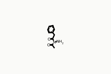 CC(=O)N(N)C(=O)Cc1ccccc1